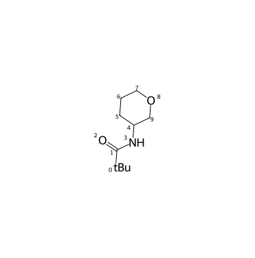 CC(C)(C)C(=O)NC1CCCOC1